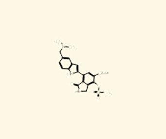 COc1cc(-c2cc3cc(CN(C)C)ccc3[nH]2)c2c(c1OS(C)(=O)=O)CNC2=O